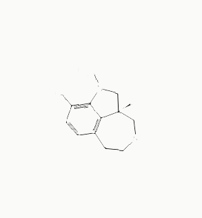 O=C(O)N1C[C@@H]2CNCCc3ccc(Cl)c1c32